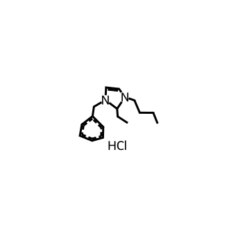 CCCCN1C=CN(Cc2ccccc2)C1CC.Cl